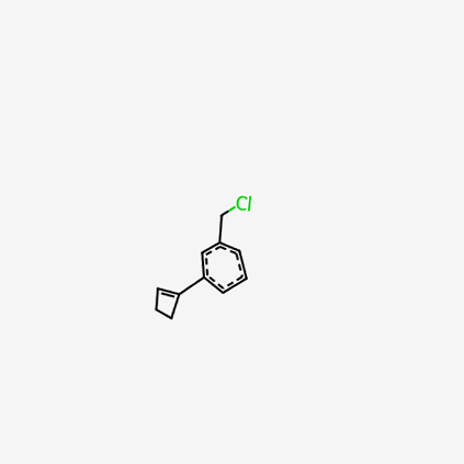 ClCc1cccc(C2=CCC2)c1